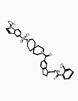 Cn1ccc2cc(S(=O)(=O)N3CCC4(CCN(C(=O)c5ccc6c(c5)C(NC(=O)c5ccccc5Cl)CC6)CC4)CC3)ccc21